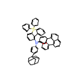 c1ccc(-c2cccc3cccc(-c4ccc(N(c5ccc(C67CC8CC(CC(C8)C6)C7)cc5)c5cccc6c5-c5ccccc5S6(c5ccccc5)c5ccccc5)cc4)c23)cc1